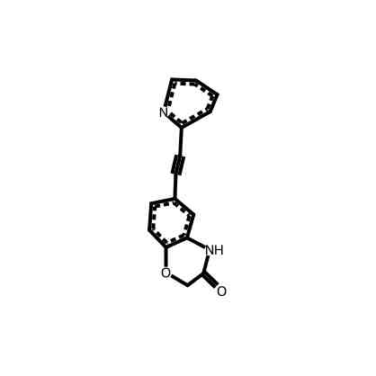 O=C1COc2ccc(C#Cc3ccccn3)cc2N1